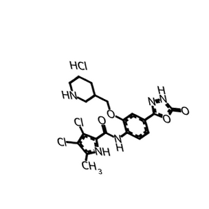 Cc1[nH]c(C(=O)Nc2ccc(-c3n[nH]c(=O)o3)cc2OCC2CCCNC2)c(Cl)c1Cl.Cl